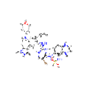 COc1cc2c(cc1Nc1ncc(Br)c(Nc3ccc4nccnc4c3NS(C)(=O)=O)n1)-c1cnn(C)c1CCN2C1CCOCC1